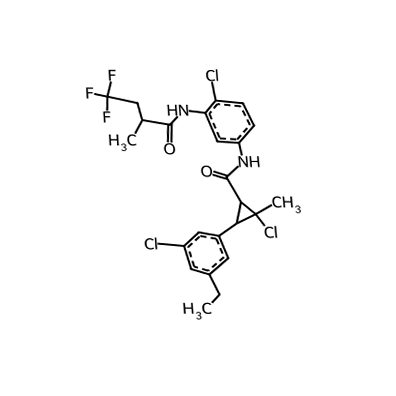 CCc1cc(Cl)cc(C2C(C(=O)Nc3ccc(Cl)c(NC(=O)C(C)CC(F)(F)F)c3)C2(C)Cl)c1